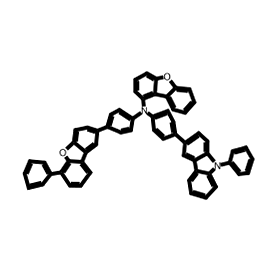 c1ccc(-c2cccc3c2oc2ccc(-c4ccc(N(c5ccc(-c6ccc7c(c6)c6ccccc6n7-c6ccccc6)cc5)c5cccc6oc7ccccc7c56)cc4)cc23)cc1